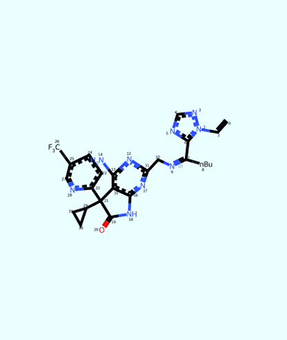 C=Cn1ncnc1/C(CCCC)=N\Cc1nc(N)c2c(n1)NC(=O)C2(c1ccc(C(F)(F)F)cn1)C1CC1